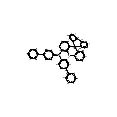 c1ccc(-c2ccc(N(c3ccc(-c4ccccc4)cc3)c3cccc4c3Oc3ccccc3C43c4ccccc4-c4ccccc43)cc2)cc1